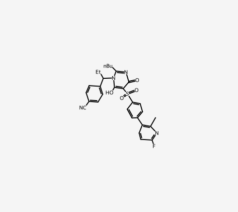 CCCCc1nc(=O)c(S(=O)(=O)c2ccc(-c3ccc(F)nc3C)cc2)c(O)n1C(CC)c1ccc(C#N)cc1